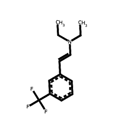 CCN(/C=C/c1cccc(C(F)(F)F)c1)CC